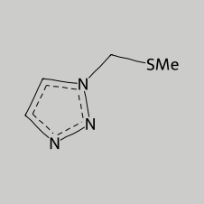 CSCn1ccnn1